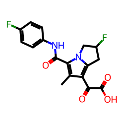 Cc1c(C(=O)C(=O)O)c2n(c1C(=O)Nc1ccc(F)cc1)CC(F)C2